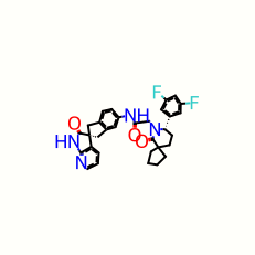 O=C(CN1C(=O)C2(CCCC2)CC[C@H]1c1cc(F)cc(F)c1)Nc1ccc2c(c1)C[C@@]1(C2)C(=O)Nc2ncccc21